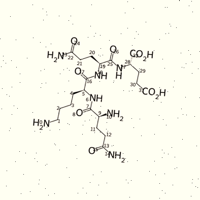 NCCCC[C@H](NC(=O)[C@@H](N)CCC(N)=O)C(=O)N[C@@H](CCC(N)=O)C(=O)N[C@@H](CCC(=O)O)C(=O)O